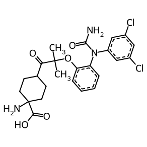 CC(C)(Oc1ccccc1N(C(N)=O)c1cc(Cl)cc(Cl)c1)C(=O)C1CCC(N)(C(=O)O)CC1